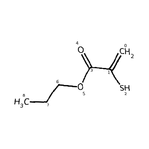 C=C(S)C(=O)OCCC